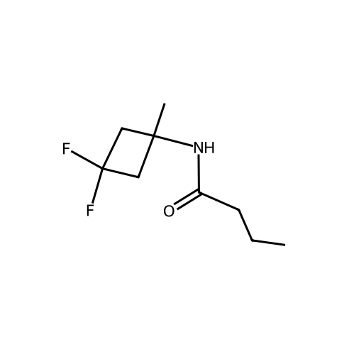 CCCC(=O)NC1(C)CC(F)(F)C1